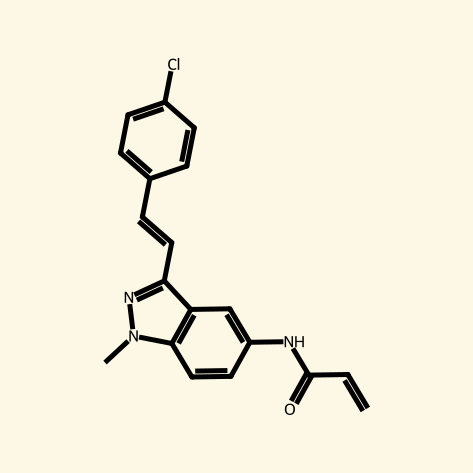 C=CC(=O)Nc1ccc2c(c1)c(/C=C/c1ccc(Cl)cc1)nn2C